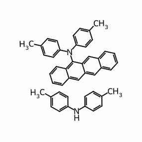 Cc1ccc(N(c2ccc(C)cc2)c2c3ccccc3cc3cc4ccccc4cc23)cc1.Cc1ccc(Nc2ccc(C)cc2)cc1